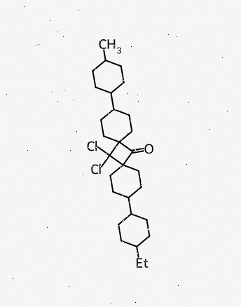 CCC1CCC(C2CCC3(CC2)C(=O)C2(CCC(C4CCC(C)CC4)CC2)C3(Cl)Cl)CC1